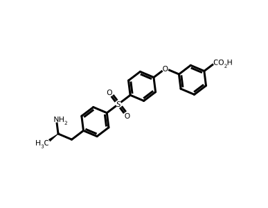 C[C@@H](N)Cc1ccc(S(=O)(=O)c2ccc(Oc3cccc(C(=O)O)c3)cc2)cc1